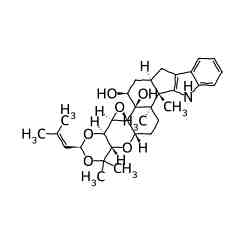 CC(C)=C[C@H]1O[C@H]2[C@H]3O[C@@]34[C@H](CC[C@@]3(C)[C@@]4(O)[C@@H](O)C[C@H]4Cc5c([nH]c6ccccc56)[C@@]43C)O[C@@H]2C(C)(C)O1